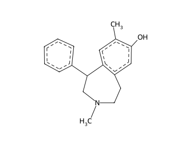 Cc1cc2c(cc1O)CCN(C)CC2c1ccccc1